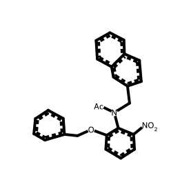 CC(=O)N(Cc1ccc2ccccc2c1)c1c(OCc2ccccc2)cccc1[N+](=O)[O-]